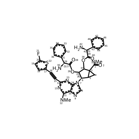 CNC(=O)C12CC1[C@@H](n1cnc3c(NC)nc(C#Cc4ccc(F)s4)nc31)C(OC(=O)[C@@H](N)c1ccccc1)C2OC(=O)[C@@H](N)c1ccccc1